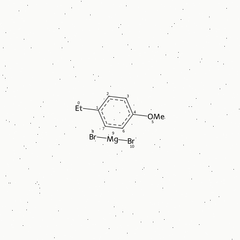 CCc1ccc(OC)cc1.[Br][Mg][Br]